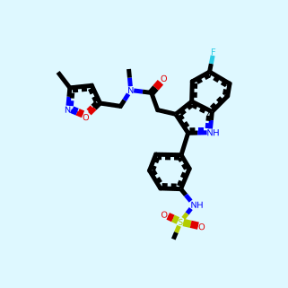 Cc1cc(CN(C)C(=O)Cc2c(-c3cccc(NS(C)(=O)=O)c3)[nH]c3ccc(F)cc23)on1